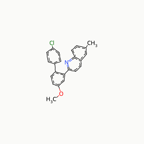 COc1ccc(-c2ccc(Cl)cc2)c(-c2ccc3cc(C)ccc3n2)c1